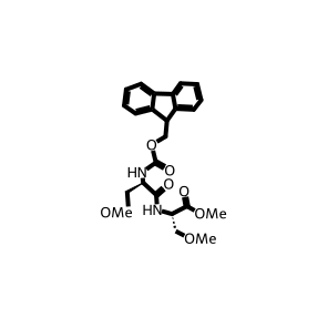 COC[C@H](NC(=O)[C@@H](COC)NC(=O)OCC1c2ccccc2-c2ccccc21)C(=O)OC